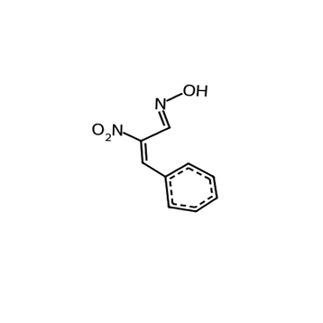 O=[N+]([O-])C(C=NO)=Cc1ccccc1